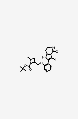 CC1CC(COc2cnccc2-c2[nH]c3c(c2I)C(=O)NCC3)N1C(=O)OC(C)(C)C